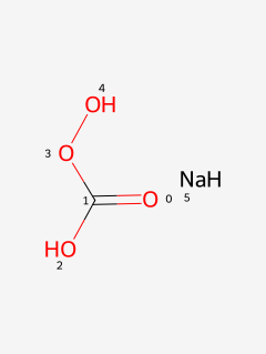 O=C(O)OO.[NaH]